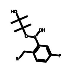 CC(C)(O)C(C)(C)OB(O)c1cc(F)ccc1CBr